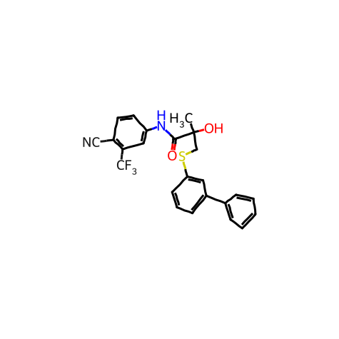 CC(O)(CSc1cccc(-c2ccccc2)c1)C(=O)Nc1ccc(C#N)c(C(F)(F)F)c1